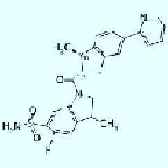 CC1CN(C(=O)[C@H]2Cc3cc(-c4ccccn4)ccc3[C@@H]2C)c2cc(S(N)(=O)=O)c(F)cc21